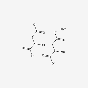 O=C([O-])CC(O)C(=O)[O-].O=C([O-])CC(O)C(=O)[O-].[Pb+4]